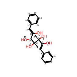 C[C@@](O)(C(O)=Cc1ccccc1)[C@](C)(O)[C@@H](O)C(O)=Cc1ccccc1